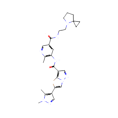 Cc1ncc(C(=O)NCCN2CCCC23CC3)cc1NC(=O)c1cnn2cc(-c3cnn(C)c3C)sc12